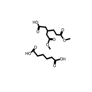 COC(=O)CCC(CC(=O)O)CC(=O)OC.O=C(O)CCCCC(=O)O